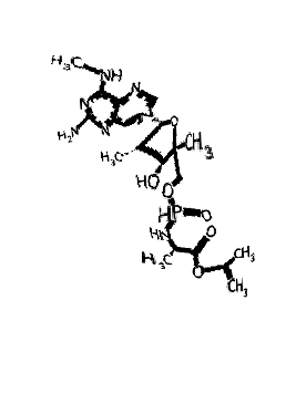 CNc1nc(N)nc2c1ncn2[C@@H]1O[C@](C)(CO[PH](=O)N[C@@H](C)C(=O)OC(C)C)[C@@H](O)[C@@H]1C